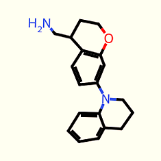 NCC1CCOc2cc(N3CCCc4ccccc43)ccc21